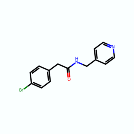 O=C(Cc1ccc(Br)cc1)NCc1ccncc1